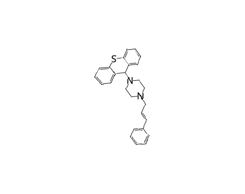 C(=Cc1ccccc1)CN1CCN(C2c3ccccc3Sc3ccccc32)CC1